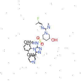 C=N/C(=N\C=C(/C)F)N1C[C@H](O)C[C@H](S(=O)(=O)Nc2nnc(-c3cccnc3)n2-c2c(OC)cccc2OC)C1